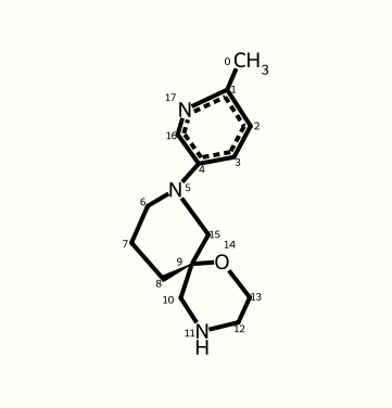 Cc1ccc(N2CCC[C@@]3(CNCCO3)C2)cn1